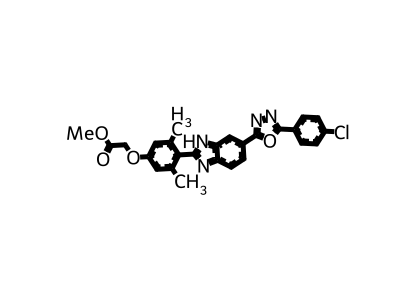 COC(=O)COc1cc(C)c(-c2nc3ccc(-c4nnc(-c5ccc(Cl)cc5)o4)cc3[nH]2)c(C)c1